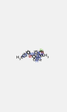 COc1cc(C(=O)Nc2cccc(N3CCN(C)CC3)c2)ccc1Nc1ncc2c(n1)N(C1CCCC1)CC(F)(F)ON2C